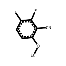 CCOc1ccc(I)c(F)c1C#N